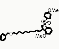 COc1ccc(S(=O)(=O)n2cc(C=CCCCCCCCCOCc3ccccc3)c3c(OC)cccc32)cc1